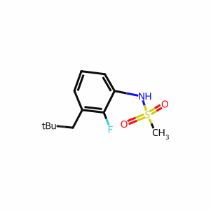 CC(C)(C)Cc1cccc(NS(C)(=O)=O)c1F